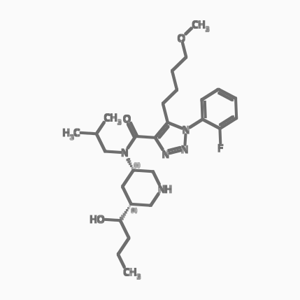 CCCC(O)[C@H]1CNC[C@@H](N(CC(C)C)C(=O)c2nnn(-c3ccccc3F)c2CCCCOC)C1